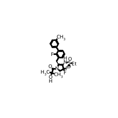 CCS(=O)(=O)N[C@@H]1[C@H](Cc2cccc(-c3cccc(C)c3)c2F)N(C(=O)C(C)(C)O)CC1(F)F